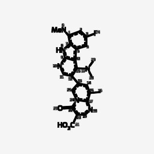 CNc1cc(F)cc2c1[nH]c1ncc(-c3cc(C)c4ncc(C(=O)O)c(=O)n4c3)c(N(C)C)c12